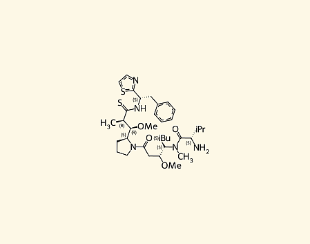 CC[C@H](C)[C@@H](C(CC(=O)N1CCC[C@H]1[C@H](OC)[C@@H](C)C(=S)N[C@@H](Cc1ccccc1)c1nccs1)OC)N(C)C(=O)[C@@H](N)C(C)C